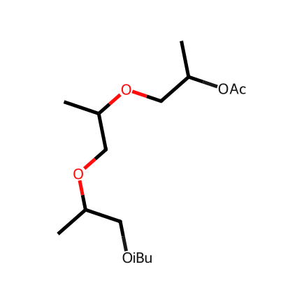 CC(=O)OC(C)COC(C)COC(C)COCC(C)C